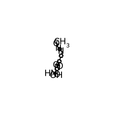 COCCN1CCN(Cc2ccc(-c3ccc(S(=O)(=O)N4CC=C(C(=O)NO)CC4)cc3)cc2)CC1